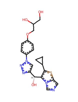 OCC(O)COc1ccc(-n2cc([C@@H](O)c3c(C4CC4)sc4cncn34)nn2)cc1